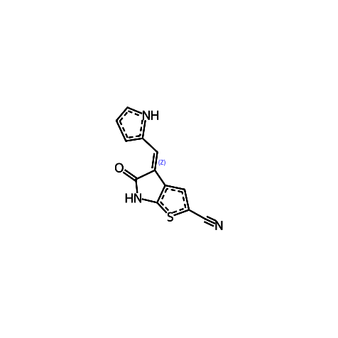 N#Cc1cc2c(s1)NC(=O)/C2=C\c1ccc[nH]1